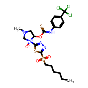 CCCCCCS(=O)(=O)c1nnc([N+]2([O-])CN(C)CC2OC(=S)Nc2ccc(C(Cl)(Cl)Cl)cc2)s1